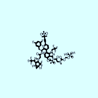 CN(CC(=O)N(c1nn(CC(F)(F)F)c2c(-c3ccc(C#CC(C)(C)S(C)(=O)=O)nc3[C@H](Cc3cc(F)cc(F)c3)NC(=O)Cn3nc(C(F)(F)F)c4c3C(F)(F)[C@@H]3C[C@H]43)ccc(Cl)c12)S(C)(=O)=O)C(=O)OCOP(=O)(O)O